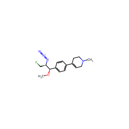 CO[C@H](c1ccc(C2=CCN(C)CC2)cc1)[C@@H](CF)N=[N+]=[N-]